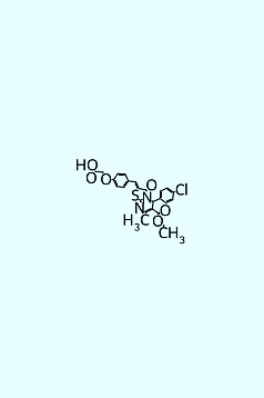 CCOC(=O)C1=C(C)N=c2s/c(=C\c3ccc(OCC(=O)O)cc3)c(=O)n2C1c1ccc(Cl)cc1